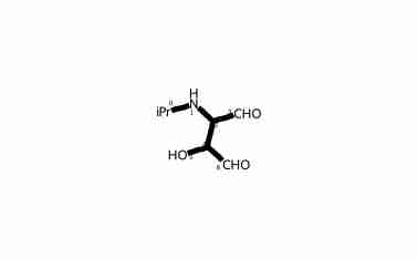 CC(C)NC(C=O)C(O)C=O